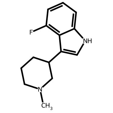 CN1CCCC(c2c[nH]c3cccc(F)c23)C1